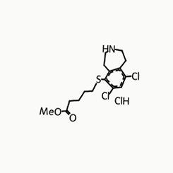 COC(=O)CCCCSc1c(Cl)cc(Cl)c2c1CCNCC2.Cl